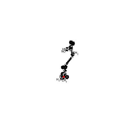 CC(C(=O)NC(C(=O)N1CCC[C@H]1c1nc(-c2ccc(OCCOCCOCCO[C@@H]3C[C@@H](COc4nc5c(c(N6CCN[C@@H](CC#N)C6)n4)CCN(c4cccc6ccccc46)C5)N(C)C3)c3ccccc23)cs1)C1CCCCC1)N(C)C(=O)OC(C)(C)C